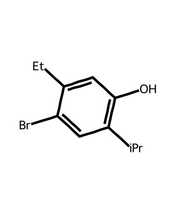 CCc1cc(O)c(C(C)C)cc1Br